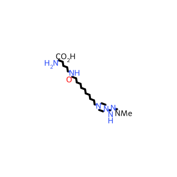 CN/C=N\C(=N)N1CCN(CCCCCCCCCCC(=O)NCCCC[C@H](N)C(=O)O)CC1